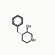 O[C@H]1CNCC[C@@H]1Cc1ccccc1